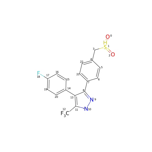 O=[SH](=O)Cc1ccc(C2=N[N]C(C(F)(F)F)=C2c2ccc(F)cc2)cc1